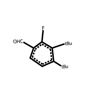 CC(C)(C)c1ccc(C=O)c(F)c1C(C)(C)C